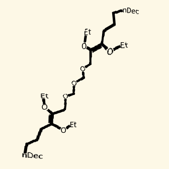 CCCCCCCCCCCCCC(OCC)=C(COCOCOCC(OCC)=C(CCCCCCCCCCCCC)OCC)OCC